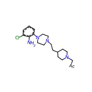 CC(=O)CN1CCC(CCN2CCN(c3cccc(Cl)c3N)CC2)CC1